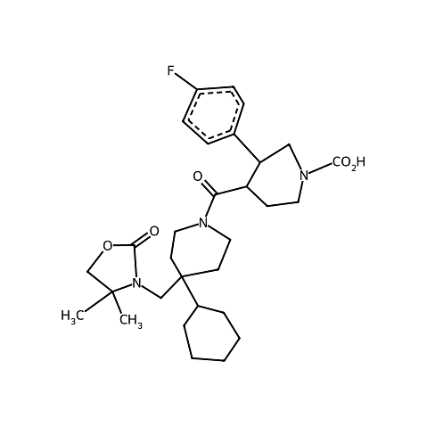 CC1(C)COC(=O)N1CC1(C2CCCCC2)CCN(C(=O)C2CCN(C(=O)O)CC2c2ccc(F)cc2)CC1